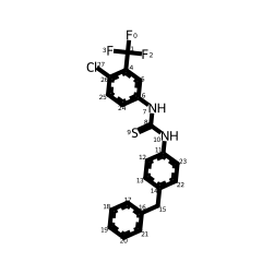 FC(F)(F)c1cc(NC(=S)Nc2ccc(Cc3ccccc3)cc2)ccc1Cl